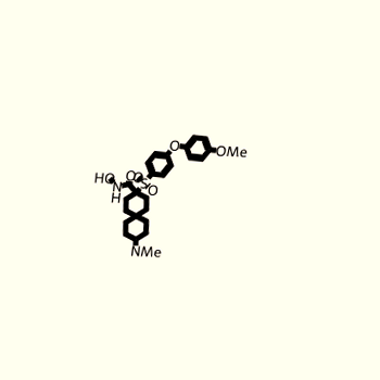 CNC1CCC2(CC1)CCC(C(=O)NO)(S(=O)(=O)c1ccc(Oc3ccc(OC)cc3)cc1)CC2